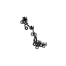 Cc1nnc2n1-c1sc(C#Cc3ccc(CCCC(=O)OCCN4CCN(c5cccc6c5C(=O)N(C5CCC(=O)NC5=O)C6=O)CC4)nc3)c(Cc3ccccc3)c1COC2